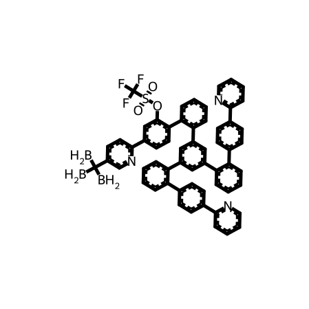 BC(B)(B)c1ccc(-c2ccc(-c3ccccc3-c3cc(-c4ccccc4-c4ccc(-c5ccccn5)cc4)cc(-c4ccccc4-c4ccc(-c5ccccn5)cc4)c3)c(OS(=O)(=O)C(F)(F)F)c2)nc1